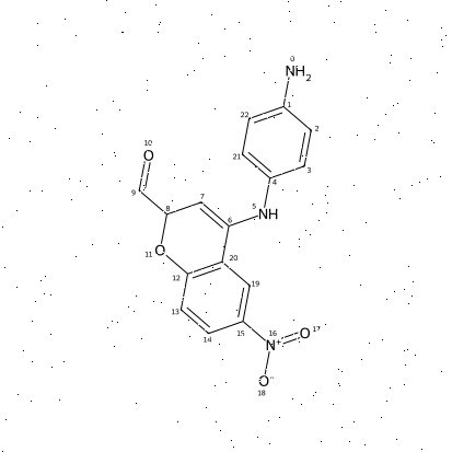 Nc1ccc(NC2=CC(C=O)Oc3ccc([N+](=O)[O-])cc32)cc1